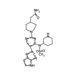 CS(=O)(=O)N(c1nc(N2CCC(CC(N)=O)CC2)ncc1-c1cnc2[nH]ccc2n1)C1CCCNC1